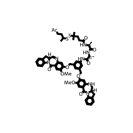 COc1cc2c(cc1OCc1cc(COc3cc4c(cc3OC)C(=O)N3c5ccccc5C[C@H]3CN4)cc(NC(=O)[C@@H](C)NC(=O)[C@H](C)NC(=O)CCC(C)(C)SSC(C)CCC(C)=O)c1)N=C[C@@H]1Cc3ccccc3N1C2=O